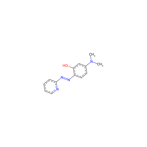 CN(C)c1ccc(N=Nc2ccccn2)c(O)c1